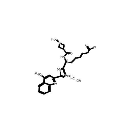 CCC(=O)CCCCC[C@H](NC(=O)C1CN(C)C1)c1ncc(-c2cc(OC)c3ccccc3n2)[nH]1.Cl.Cl.Cl